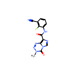 Cn1nnc2c(C(=O)Nc3cccc(C#N)c3F)ncn2c1=O